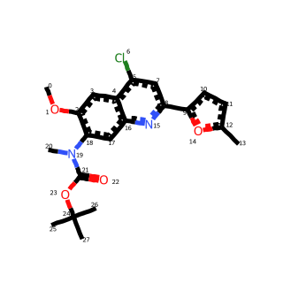 COc1cc2c(Cl)cc(-c3ccc(C)o3)nc2cc1N(C)C(=O)OC(C)(C)C